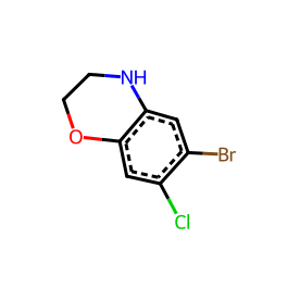 Clc1cc2c(cc1Br)NCCO2